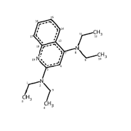 CCN(CC)c1cc(N(CC)CC)c2ccccc2n1